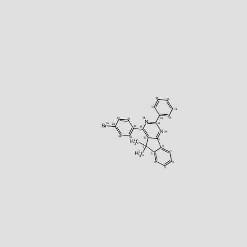 CC1(C)c2ccccc2-c2nc(-c3ccccc3)nc(-c3ccc(Br)cc3)c21